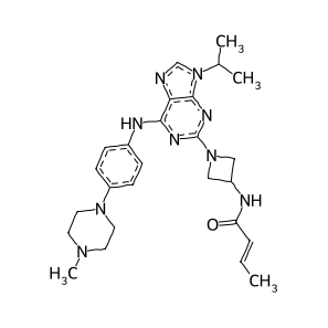 C/C=C/C(=O)NC1CN(c2nc(Nc3ccc(N4CCN(C)CC4)cc3)c3ncn(C(C)C)c3n2)C1